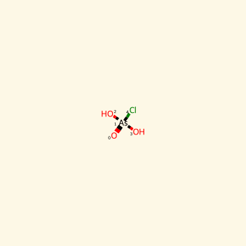 O=[As](O)(O)Cl